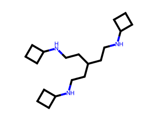 C1CC(NCCC(CCNC2CCC2)CCNC2CCC2)C1